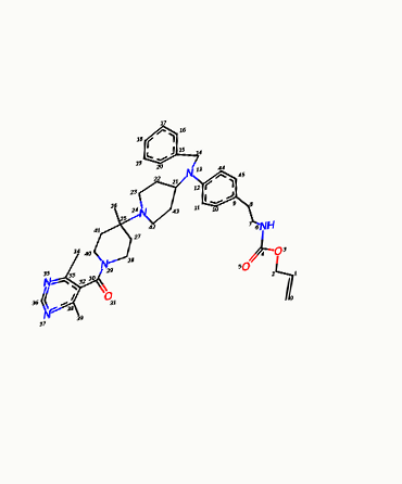 C=CCOC(=O)NCCc1ccc(N(Cc2ccccc2)C2CCN(C3(C)CCN(C(=O)c4c(C)ncnc4C)CC3)CC2)cc1